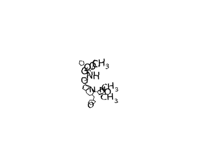 COC[C@H](NCCOc1ccc2c(c1)N=C(c1cc(C)c(=O)n(C)c1)C(CC1CCOCC1)CC2)C(=O)OC1CCCC1